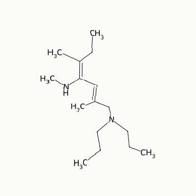 CCCN(CCC)C/C(C)=C/C(NC)=C(/C)CC